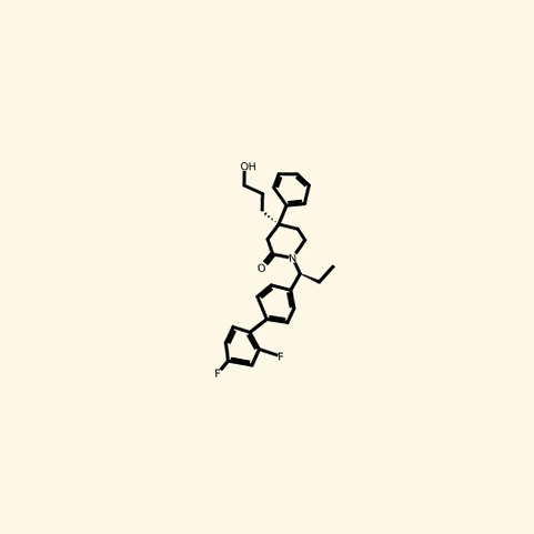 CC[C@@H](c1ccc(-c2ccc(F)cc2F)cc1)N1CC[C@](CCCO)(c2ccccc2)CC1=O